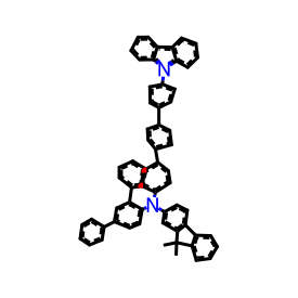 CC1(C)c2ccccc2-c2ccc(N(c3ccc(-c4ccc(-c5ccc(-n6c7ccccc7c7ccccc76)cc5)cc4)cc3)c3ccc(-c4ccccc4)cc3-c3ccccc3)cc21